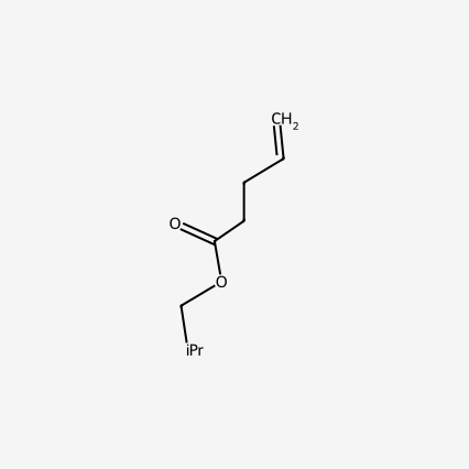 C=CCCC(=O)OCC(C)C